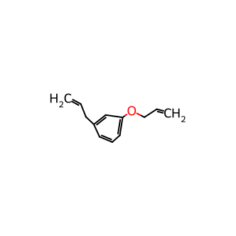 C=CCOc1cccc(CC=C)c1